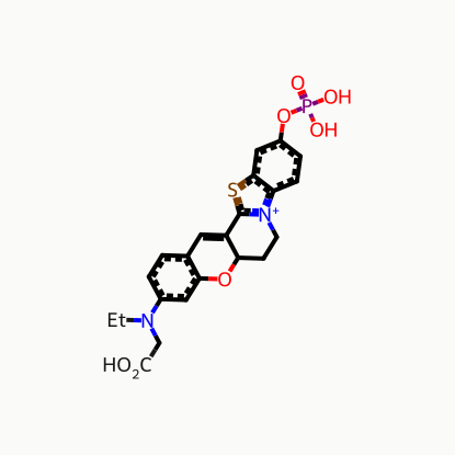 CCN(CC(=O)O)c1ccc2c(c1)OC1CC[n+]3c(sc4cc(OP(=O)(O)O)ccc43)C1=C2